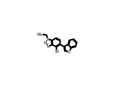 CC(C)(C)Cn1nnc2c(Br)c(-c3coc4ccccc34)ccc21